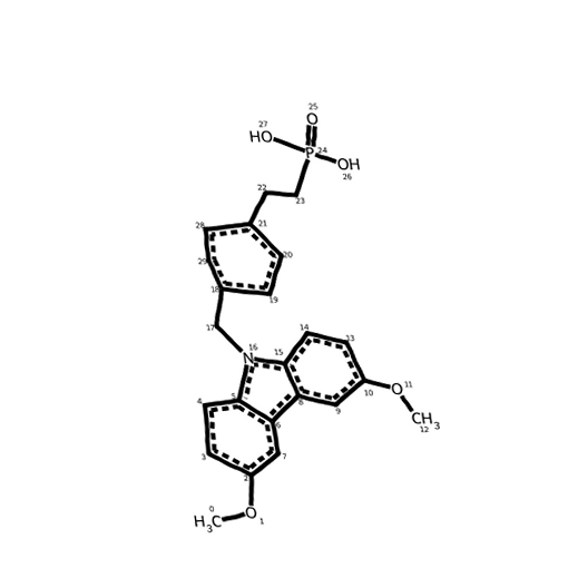 COc1ccc2c(c1)c1cc(OC)ccc1n2Cc1ccc(CCP(=O)(O)O)cc1